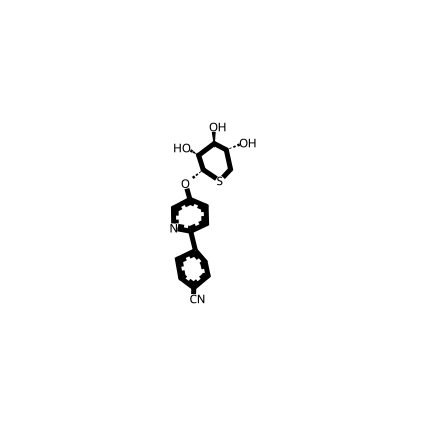 N#Cc1ccc(-c2ccc(O[C@H]3SC[C@@H](O)[C@H](O)[C@H]3O)cn2)cc1